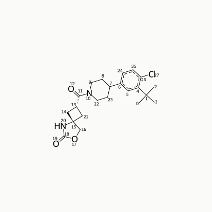 CC(C)(C)c1cc(C2CCN(C(=O)[C@H]3C[C@]4(COC(=O)N4)C3)CC2)ccc1Cl